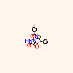 Cc1ccc(C(=O)N2CCC(Cc3ccccc3)C2N2CNC(=O)C3=C2COC3)cc1